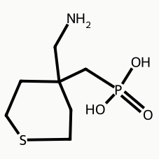 NCC1(CP(=O)(O)O)CCSCC1